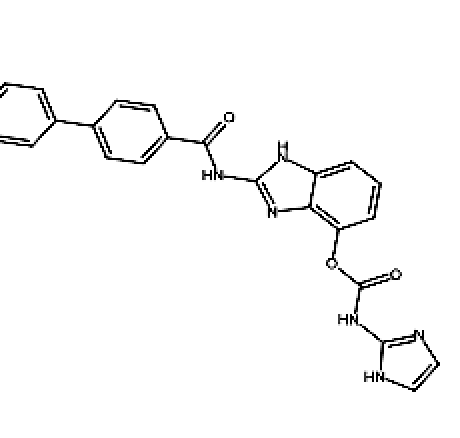 O=C(Nc1ncc[nH]1)Oc1cccc2[nH]c(NC(=O)c3ccc(-c4ccccc4)cc3)nc12